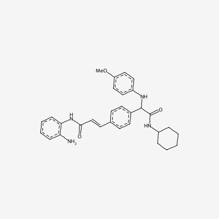 COc1ccc(NC(C(=O)NC2CCCCC2)c2ccc(C=CC(=O)Nc3ccccc3N)cc2)cc1